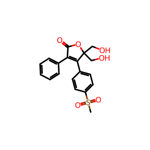 CS(=O)(=O)c1ccc(C2=C(c3ccccc3)C(=O)OC2(CO)CO)cc1